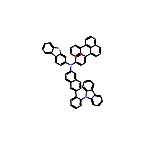 c1ccc(-c2cccc3cccc(-c4ccc(N(c5ccc6cc(-c7ccccc7-n7c8ccccc8c8ccccc87)ccc6c5)c5ccc6c(c5)sc5ccccc56)cc4)c23)cc1